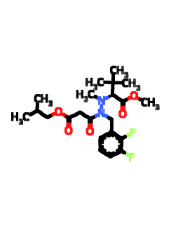 COC(=O)[C@@H](N(C)N(Cc1cccc(F)c1F)C(=O)CC(=O)OCC(C)C)C(C)(C)C